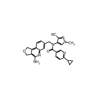 Cn1cc(N(Cc2ccc3c4c(c(N)nc3c2)COC4)C(=O)c2ccc(C3CC3)nc2)c(C#N)n1